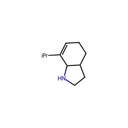 CC(C)C1=CCCC2CCNC12